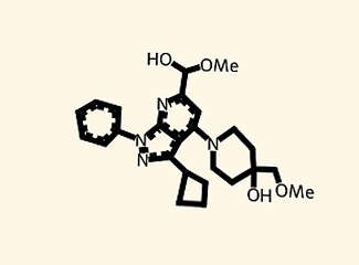 COCC1(O)CCN(c2cc(C(O)OC)nc3c2c(C2CCC2)nn3-c2ccccc2)CC1